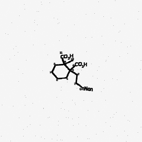 CCCCCCCCCCCC1(C(=O)O)CCCCC1(C)C(=O)O